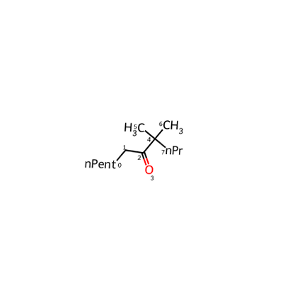 CCCCCCC(=O)C(C)(C)CCC